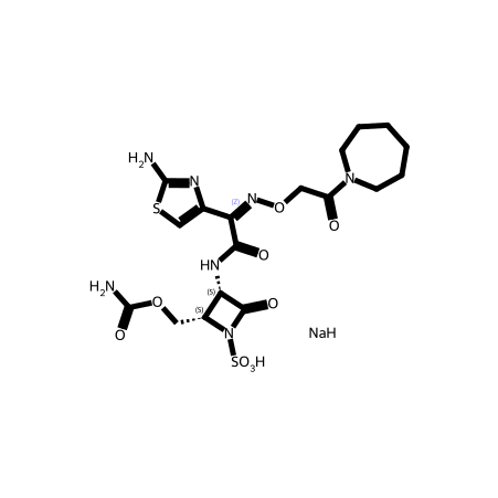 NC(=O)OC[C@@H]1[C@H](NC(=O)/C(=N\OCC(=O)N2CCCCCC2)c2csc(N)n2)C(=O)N1S(=O)(=O)O.[NaH]